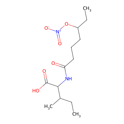 CCC(CCCC(=O)NC(C(=O)O)C(C)CC)O[N+](=O)[O-]